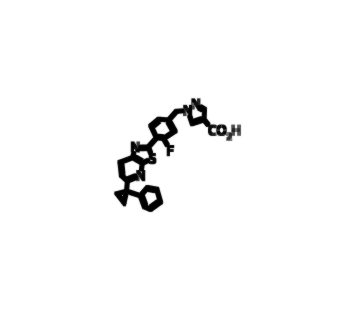 O=C(O)c1cnn(Cc2ccc(-c3nc4ccc(C5(c6ccccc6)CC5)nc4s3)c(F)c2)c1